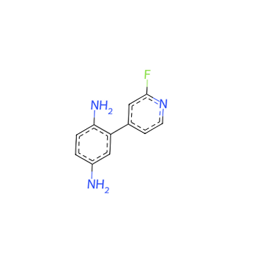 Nc1ccc(N)c(-c2ccnc(F)c2)c1